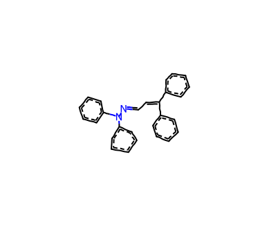 C(C=C(c1ccccc1)c1ccccc1)=NN(c1ccccc1)c1ccccc1